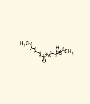 CCCCCCCC(=O)SCCC[SiH2]OCC